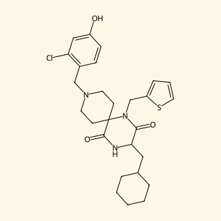 O=C1C(CC2CCCCC2)NC(=O)C2(CCN(Cc3ccc(O)cc3Cl)CC2)N1Cc1cccs1